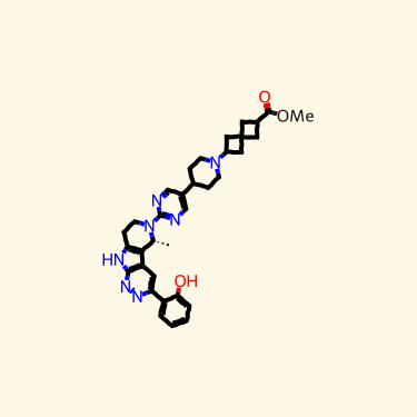 COC(=O)C1CC2(C1)CC(N1CCC(c3cnc(N4CCc5[nH]c6nnc(-c7ccccc7O)cc6c5[C@H]4C)nc3)CC1)C2